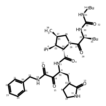 CC(C)[C@@H]1[C@@H](C(=O)N[C@@H](C[C@@H]2CCNC2=O)C(=O)C(=O)NCc2ccccc2)N(C(=O)[C@@H](NC(=O)NC(C)(C)C)C(C)(C)C)C[C@@H]1C